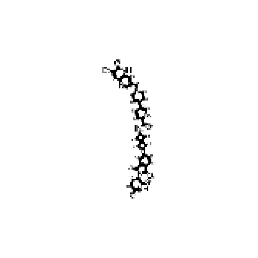 CCc1cc2ncc(CN3CC=C(c4ccc(C(=O)NC5CC6(C5)CN(c5ccc7c(c5)C(=O)N(C5CCC(=O)NC5=O)C7=O)C6)nc4)CC3)cc2[nH]c1=O